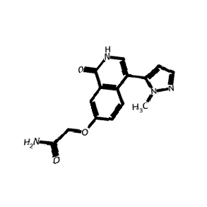 Cn1nccc1-c1c[nH]c(=O)c2cc(OCC(N)=O)ccc12